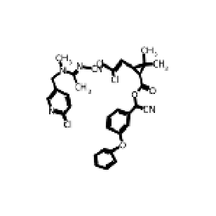 C/C(=N\C#N)N(C)Cc1ccc(Cl)nc1.CC1(C)C(C=C(Cl)Cl)C1C(=O)OC(C#N)c1cccc(Oc2ccccc2)c1